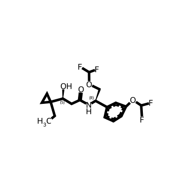 CCC1([C@@H](O)CC(=O)N[C@@H](COC(F)F)c2cccc(OC(F)F)c2)CC1